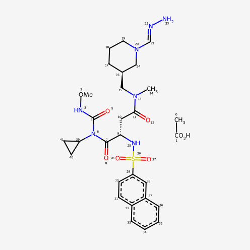 CC(=O)O.CONC(=O)N(C(=O)[C@H](CC(=O)N(C)C[C@H]1CCCN(C=NN)C1)NS(=O)(=O)c1ccc2ccccc2c1)C1CC1